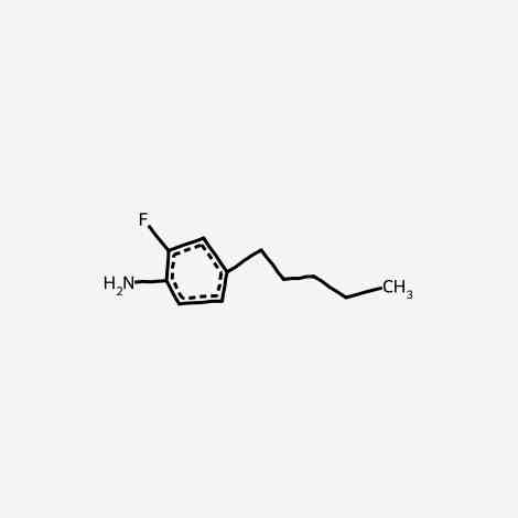 CCCCCc1ccc(N)c(F)c1